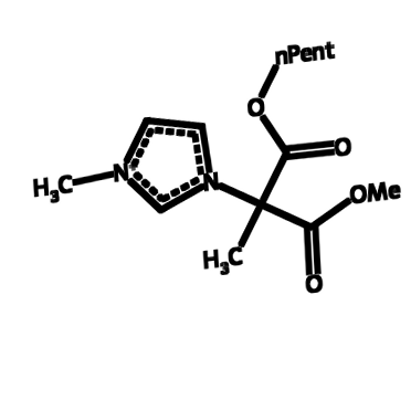 CCCCCOC(=O)C(C)(C(=O)OC)n1cc[n+](C)c1